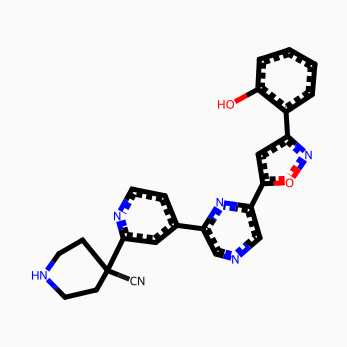 N#CC1(c2cc(-c3cncc(-c4cc(-c5ccccc5O)no4)n3)ccn2)CCNCC1